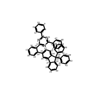 c1ccc(-c2nc(-c3ccccc3)nc(-c3ccccc3-c3ccc4c(c3)-c3ccccc3C4(c3ccccc3)c3ccccc3)n2)cc1